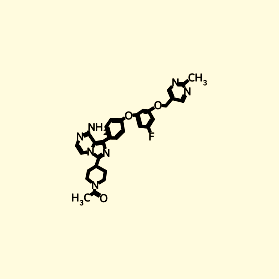 CC(=O)N1CCC(c2nc(-c3ccc(Oc4cc(F)cc(OCc5cnc(C)nc5)c4)cc3)c3c(N)nccn23)CC1